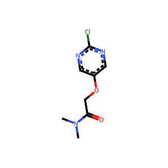 CN(C)C(=O)COc1cnc(Cl)nc1